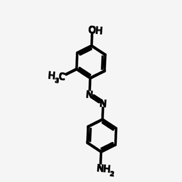 Cc1cc(O)ccc1N=Nc1ccc(N)cc1